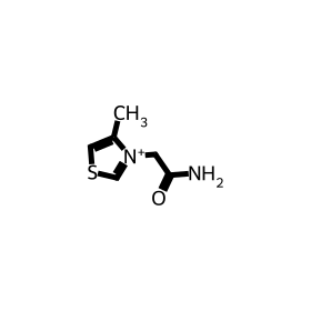 Cc1csc[n+]1CC(N)=O